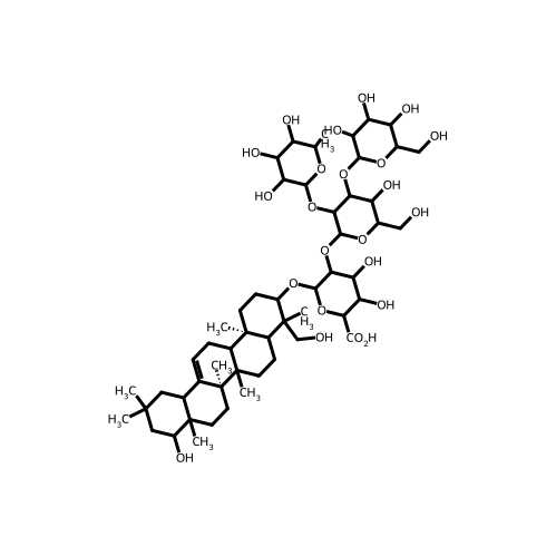 CC1OC(OC2C(OC3C(OC4CC[C@@]5(C)C(CCC6(C)C5CC=C5C7CC(C)(C)CC(O)C7(C)CC[C@@]56C)C4(C)CO)OC(C(=O)O)C(O)C3O)OC(CO)C(O)C2OC2OC(CO)C(O)C(O)C2O)C(O)C(O)C1O